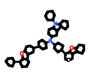 c1ccc(-c2cccc3c2oc2ccc(-c4ccc(N(c5ccc(-c6cccc7c6oc6ccccc67)cc5)c5ccc6c(c5)c5ccccc5n6-c5ccccc5)cc4)cc23)cc1